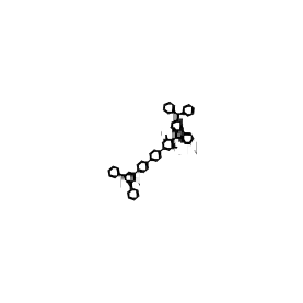 N#Cc1cc(-c2ccc(-c3ccc(-c4cc(-c5ccccc5)nc(-c5ccccc5)n4)cc3)cc2)cc(C#N)c1-n1c2ccccc2c2cc(N(c3ccccc3)c3ccccc3)ccc21